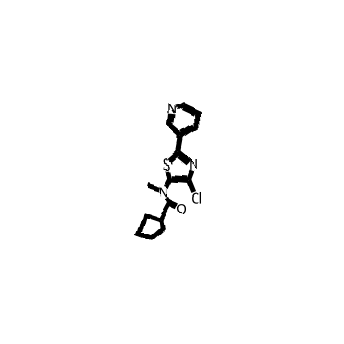 CN(C(=O)C1CCCC1)c1sc(-c2cccnc2)nc1Cl